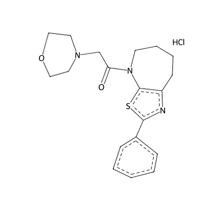 Cl.O=C(CN1CCOCC1)N1CCCCc2nc(-c3ccccc3)sc21